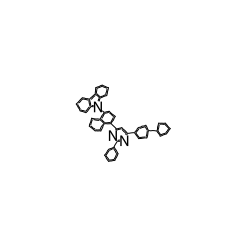 c1ccc(-c2ccc(-c3cc(-c4ccc(-n5c6ccccc6c6ccccc65)c5ccccc45)nc(-c4ccccc4)n3)cc2)cc1